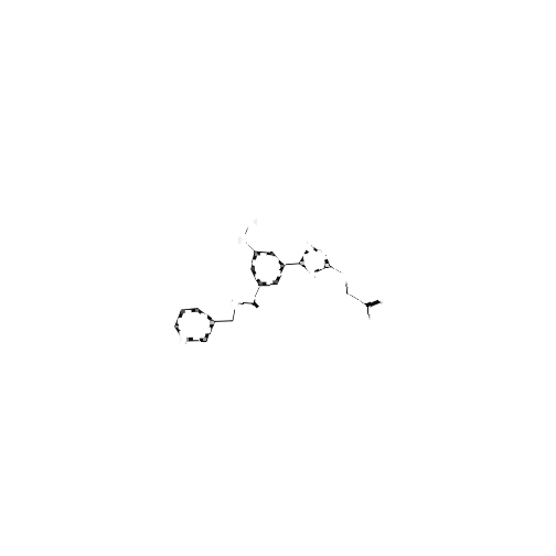 O=C(O)CSc1nnc(-c2cc(NO)cc(C(=O)NCc3cccnc3)c2)[nH]1